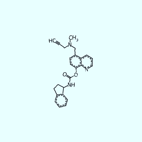 C#CCN(C)Cc1ccc(OC(=O)NC2CCc3ccccc32)c2ncccc12